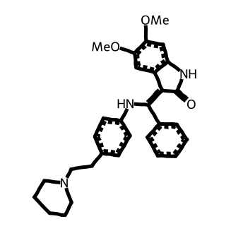 COc1cc2c(cc1OC)C(=C(Nc1ccc(CCN3CCCCC3)cc1)c1ccccc1)C(=O)N2